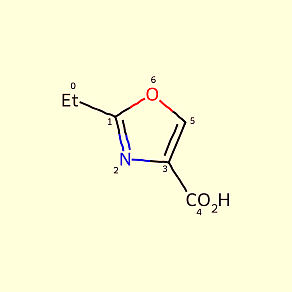 CCc1nc(C(=O)O)co1